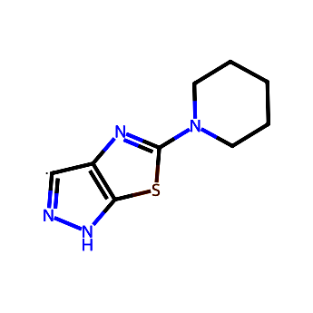 [c]1n[nH]c2sc(N3CCCCC3)nc12